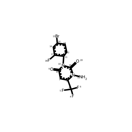 Nn1c(C(F)(F)F)cc(=O)n(-c2ccc(Br)cc2F)c1=O